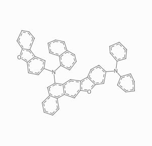 c1ccc(N(c2ccccc2)c2ccc3c(c2)oc2cc4c(cc23)c(N(c2ccc3oc5ccccc5c3c2)c2cccc3ccccc23)cc2ccccc24)cc1